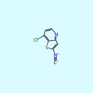 [C-]#[N+]c1cc2nccc(Cl)c2s1